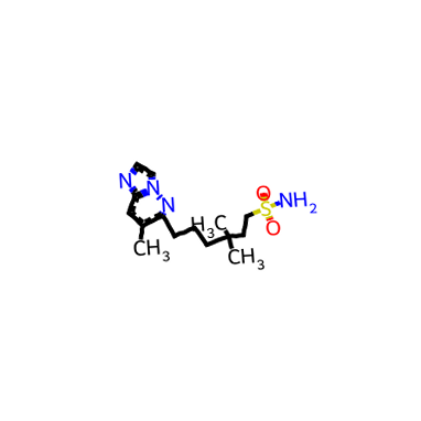 Cc1cc2nccn2nc1CCCC(C)(C)CCS(N)(=O)=O